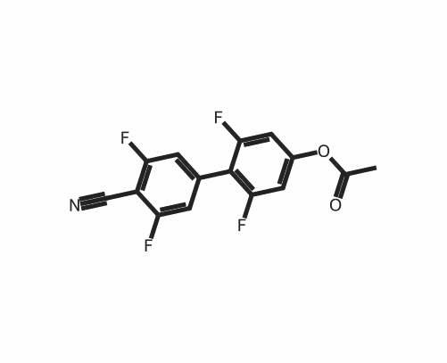 CC(=O)Oc1cc(F)c(-c2cc(F)c(C#N)c(F)c2)c(F)c1